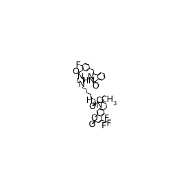 CC1(C)CCc2cc3c(C(F)(F)F)cc(=O)oc3cc2N1C(=O)CCCCCCN1CCN(C(=O)c2cc(Cc3n[nH]c(=O)c4ccccc34)ccc2F)CC1